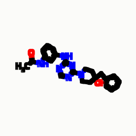 CC(=O)Nc1cccc(Nc2ncnc(N3CCC(O)(Cc4ccccc4)CC3)n2)c1